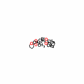 CCC(CC(C)(C)C(=O)OC1(C)CCCCO1)C(=O)OC(C)(C)C12CC3CC(CC(C3)C1)C2